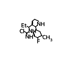 CCC(NC(=N)Cl)C1=CCCNC1C1C=CC(F)C(C)C1